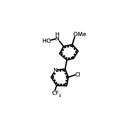 COc1ccc(-c2ncc(C(F)(F)F)cc2Cl)cc1NO